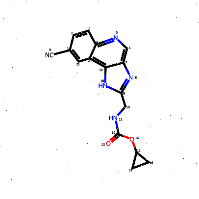 N#Cc1ccc2ncc3nc(CNC(=O)OC4CC4)[nH]c3c2c1